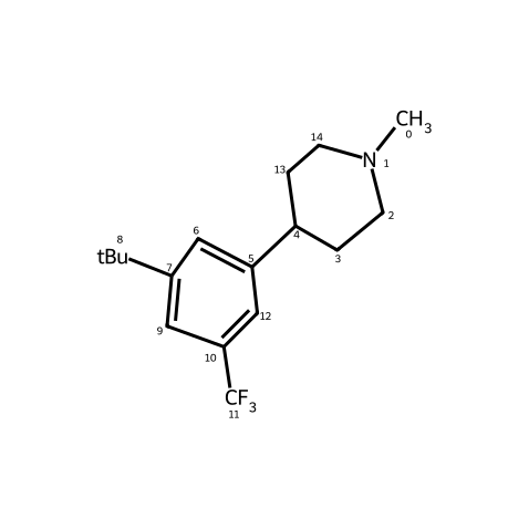 CN1CCC(c2cc(C(C)(C)C)cc(C(F)(F)F)c2)CC1